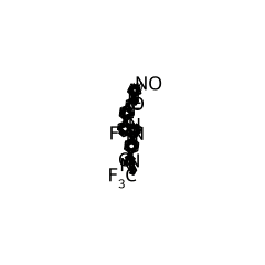 O=N[C@H]1CCN(C(=O)Cc2ccc(-c3cc(F)cc4c(N5CCC(c6nc(CC(F)(F)F)no6)CC5)ncnc34)cc2F)C1